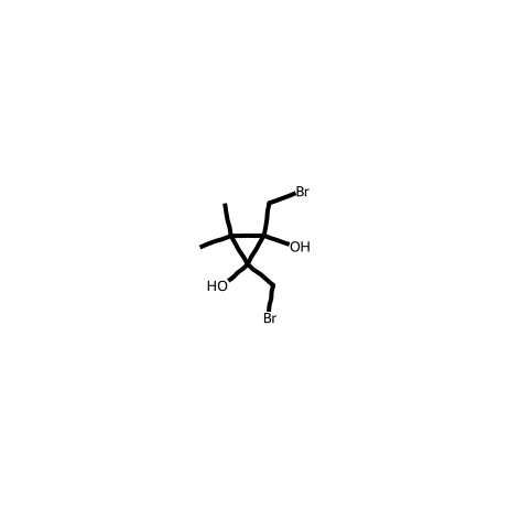 CC1(C)C(O)(CBr)C1(O)CBr